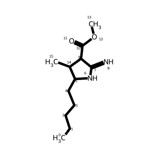 CCCCCC1NC(=N)C(C(=O)OC)C1C